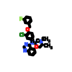 C[C@H](COc1cccc2ncnc(Nc3ccc(OCc4cccc(F)c4)c(Cl)c3)c12)N(C)C